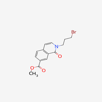 COC(=O)c1ccc2ccn(CCCBr)c(=O)c2c1